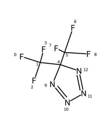 FC(F)(F)C1(C(F)(F)F)N=NN=N1